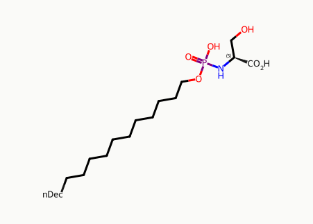 CCCCCCCCCCCCCCCCCCCCCOP(=O)(O)N[C@@H](CO)C(=O)O